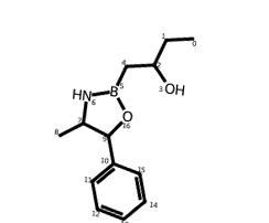 CCC(O)CB1NC(C)C(c2ccccc2)O1